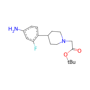 CC(C)(C)OC(=O)CN1CCC(c2ccc(N)cc2F)CC1